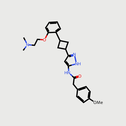 COc1ccc(CC(=O)Nc2cc(C3CC(c4ccccc4OCCN(C)C)C3)n[nH]2)cc1